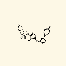 CCn1c(Oc2cccc(N3CCN(C)CC3)c2)nnc1[C@@H](C)NS(=O)(=O)Cc1ccncc1